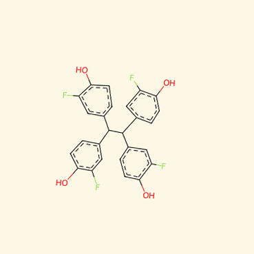 Oc1ccc(C(c2ccc(O)c(F)c2)C(c2ccc(O)c(F)c2)c2ccc(O)c(F)c2)cc1F